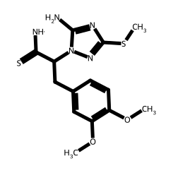 COc1ccc(CC(C([NH])=S)n2nc(SC)nc2N)cc1OC